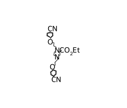 CCOC(=O)C1CN(CCCOc2ccc(C#N)cc2)CCN1CCCOc1ccc(C#N)cc1